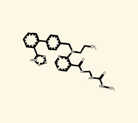 CCCN(Cc1ccc(-c2ccccc2-c2nnn[nH]2)cc1)c1ncncc1C(=O)OCNC(=O)NC